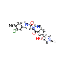 CC(=O)N1CCC(O)(c2ccc3ncn(CC(=O)N(C)Cc4ccc(C#N)c(Cl)c4)c(=O)c3c2)CC1